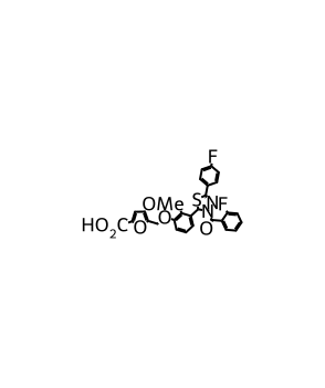 COc1c(OCc2ccc(C(=O)O)o2)cccc1C1SC(c2ccc(F)cc2)=NN1C(=O)c1ccccc1F